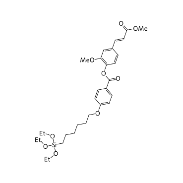 CCO[Si](CCCCCCOc1ccc(C(=O)Oc2ccc(C=CC(=O)OC)cc2OC)cc1)(OCC)OCC